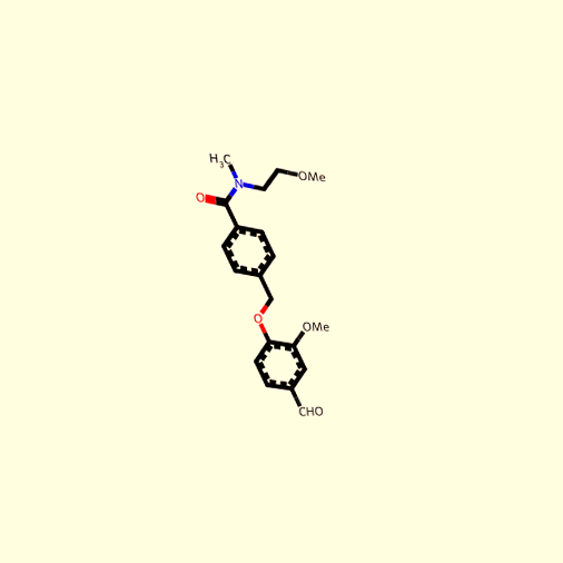 COCCN(C)C(=O)c1ccc(COc2ccc(C=O)cc2OC)cc1